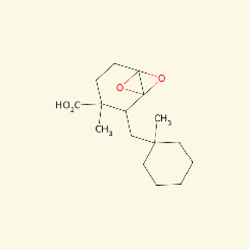 CC1(CC2C(C)(C(=O)O)CCC34OC23O4)CCCCC1